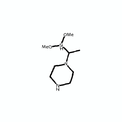 CO[SiH](OC)C(C)N1CCNCC1